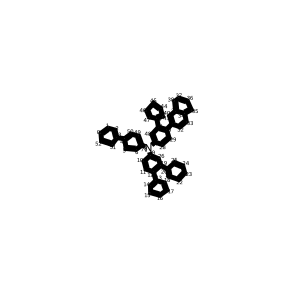 c1ccc(-c2ccc(N(c3ccc(-c4ccccc4)c(-c4ccccc4)c3)c3ccc(-c4ccc5ccccc5c4)c(-c4ccccc4)c3)cc2)cc1